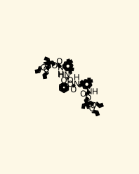 C=CCOCC(CC)(COCC=C)COC(=O)NC1CC(C)(C)CC(C)(CNC(=O)Oc2ccccc2OC(=O)NCC2(C)CC(NC(=O)OCC(CC)(COCC=C)COCC=C)CC(C)(C)C2)C1